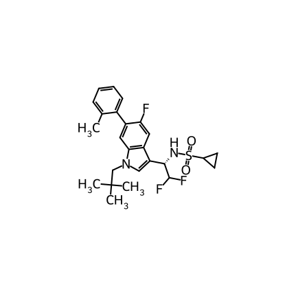 Cc1ccccc1-c1cc2c(cc1F)c([C@H](NS(=O)(=O)C1CC1)C(F)F)cn2CC(C)(C)C